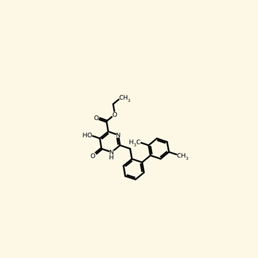 CCOC(=O)c1nc(Cc2ccccc2-c2cc(C)ccc2C)[nH]c(=O)c1O